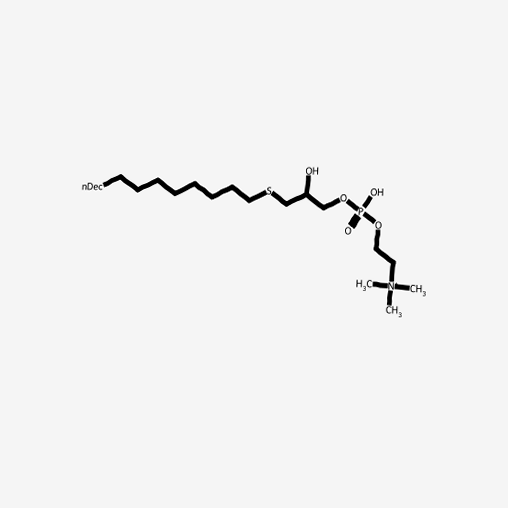 CCCCCCCCCCCCCCCCCCSCC(O)COP(=O)(O)OCC[N+](C)(C)C